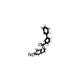 N#CN1CC2CCN(C(=O)c3cccc(-c4ccccc4)c3)C2C1